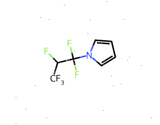 FC(C(F)(F)F)C(F)(F)n1cccc1